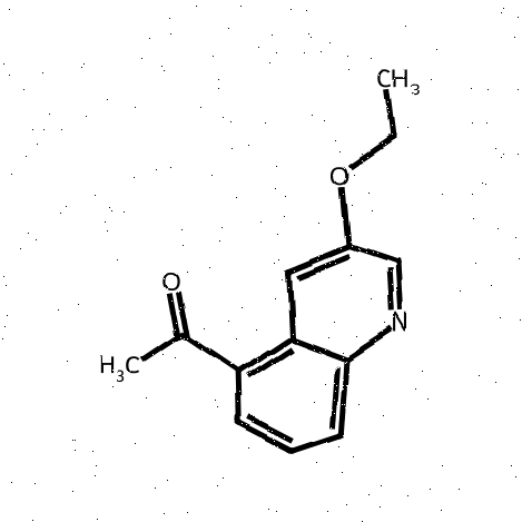 CCOc1cnc2cccc(C(C)=O)c2c1